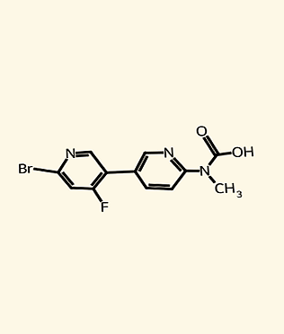 CN(C(=O)O)c1ccc(-c2cnc(Br)cc2F)cn1